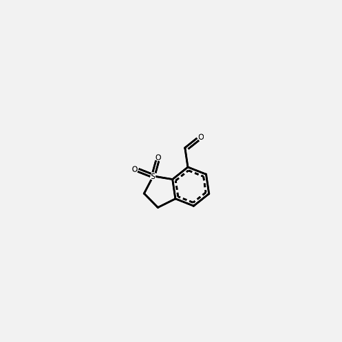 O=Cc1cccc2c1S(=O)(=O)CC2